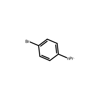 CC[CH]c1ccc(Br)cc1